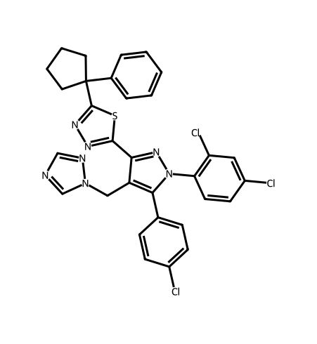 Clc1ccc(-c2c(Cn3cncn3)c(-c3nnc(C4(c5ccccc5)CCCC4)s3)nn2-c2ccc(Cl)cc2Cl)cc1